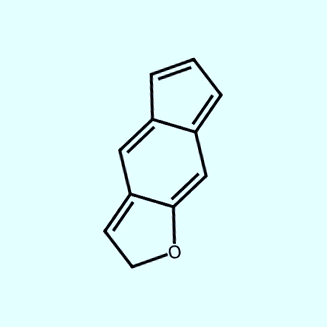 C1=Cc2cc3c(cc2=C1)OCC=3